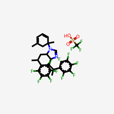 CC1=CC=CC(C)(N2C=NC(CC(C)c3c(F)c(F)c(F)c(F)c3F)C2CC(C)c2c(F)c(F)c(F)c(F)c2F)C1.O=S(=O)(O)C(F)(F)F